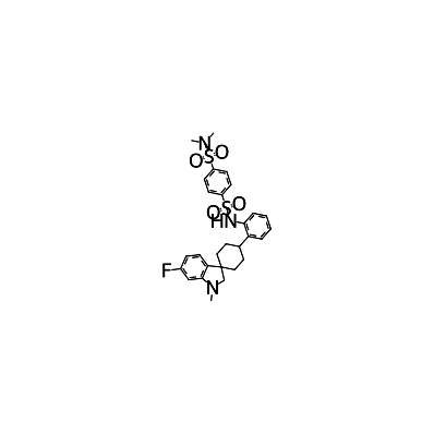 CN1CC2(CCC(c3ccccc3NS(=O)(=O)c3ccc(S(=O)(=O)N(C)C)cc3)CC2)c2ccc(F)cc21